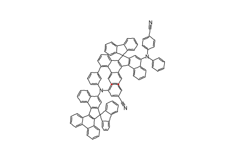 N#Cc1ccc(N(c2ccccc2)c2cc3c(c4ccccc24)-c2c(c4cccc(-c5cccc(N(c6cccc(C#N)c6)c6cc7c(c8ccccc68)-c6c(c8ccccc8c8ccccc68)C76c7ccccc7-c7ccccc76)c5)c4c4ccccc24)C32c3ccccc3-c3ccccc32)cc1